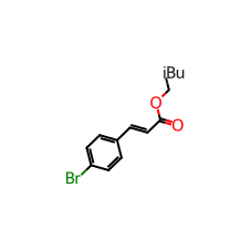 CCC(C)COC(=O)C=Cc1ccc(Br)cc1